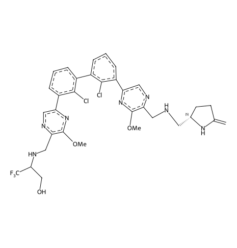 C=C1CC[C@@H](CNCc2ncc(-c3cccc(-c4cccc(-c5cnc(CNC(CO)C(F)(F)F)c(OC)n5)c4Cl)c3Cl)nc2OC)N1